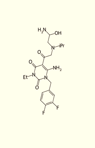 CCn1c(=O)c(C(=O)CN(CC(N)O)C(C)C)c(N)n(Cc2ccc(F)c(F)c2)c1=O